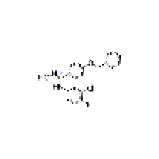 O/N=C(\Nc1ccc(F)c(Cl)c1)c1ccc(OCc2ccccc2)cc1